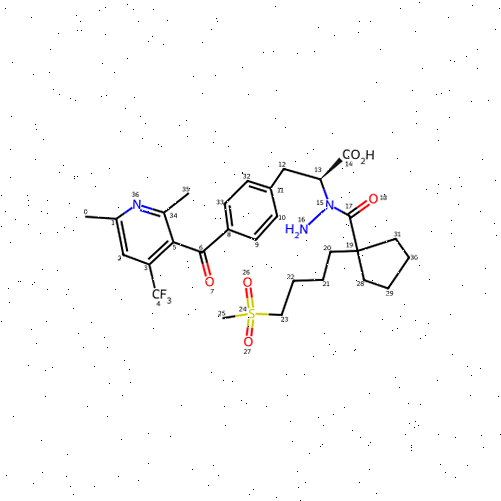 Cc1cc(C(F)(F)F)c(C(=O)c2ccc(C[C@@H](C(=O)O)N(N)C(=O)C3(CCCCS(C)(=O)=O)CCCC3)cc2)c(C)n1